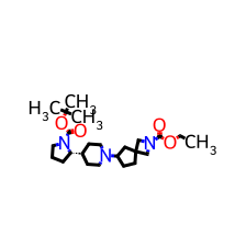 CCOC(=O)N1CC2(CCC(N3CCC([C@@H]4CCCN4C(=O)OC(C)(C)C)CC3)C2)C1